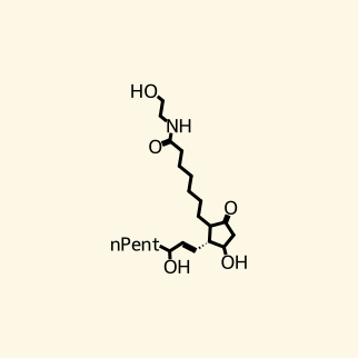 CCCCCC(O)/C=C/[C@H]1C(O)CC(=O)C1CCCCCCC(=O)NCCO